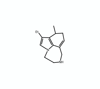 CCc1cn2c3c1C(C)CC=C3CNCC2